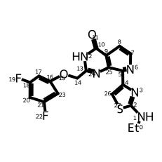 CCNc1nc(-c2nccc3c(=O)[nH]c(COc4cc(F)cc(F)c4)nc23)cs1